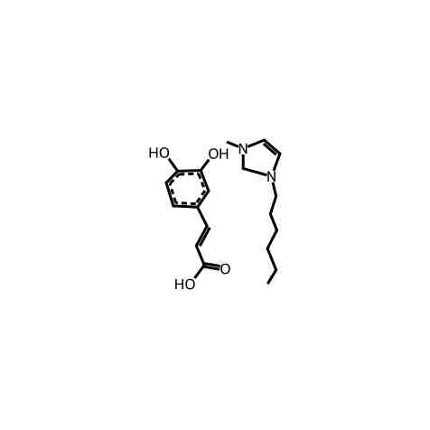 CCCCCCN1C=CN(C)C1.O=C(O)/C=C/c1ccc(O)c(O)c1